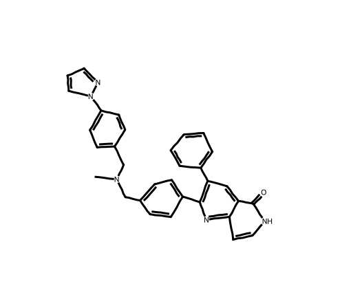 CN(Cc1ccc(-c2nc3cc[nH]c(=O)c3cc2-c2ccccc2)cc1)Cc1ccc(-n2cccn2)cc1